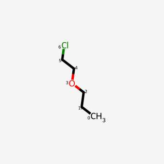 C[CH]COCCCl